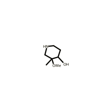 COC1(C)CNCCC1O